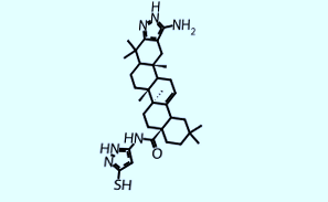 CC1(C)CC[C@]2(C(=O)Nc3cc(S)n[nH]3)CC[C@]3(C)C(=CCC4[C@@]5(C)Cc6c(n[nH]c6N)C(C)(C)C5CC[C@]43C)C2C1